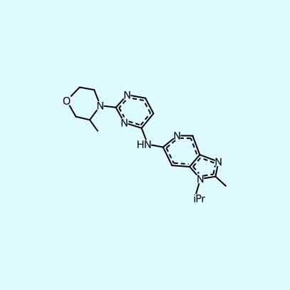 Cc1nc2cnc(Nc3ccnc(N4CCOCC4C)n3)cc2n1C(C)C